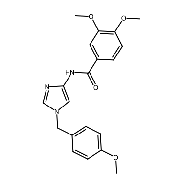 COc1ccc(Cn2cnc(NC(=O)c3ccc(OC)c(OC)c3)c2)cc1